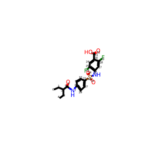 CCC(CC)C(=O)Nc1ccc(S(=O)(=O)Nc2cc(F)c(C(=O)O)cc2F)cc1